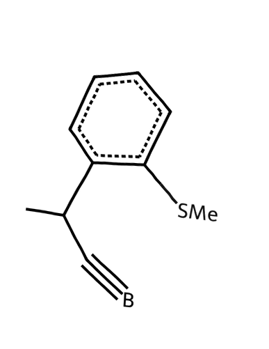 B#CC(C)c1ccccc1SC